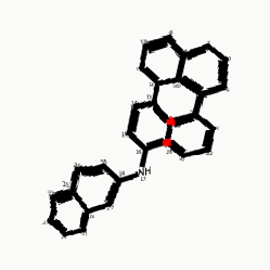 c1ccc(-c2cccc3cccc(-c4ccc(Nc5ccc6ccccc6c5)cc4)c23)cc1